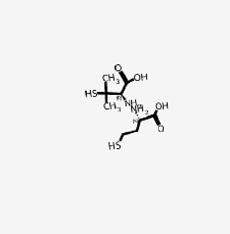 CC(C)(S)[C@H](N)C(=O)O.N[C@@H](CCS)C(=O)O